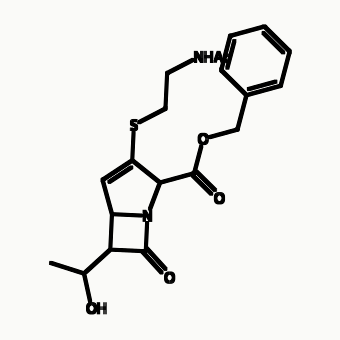 CC(=O)NCCSC1=CC2C(C(C)O)C(=O)N2C1C(=O)OCc1ccccc1